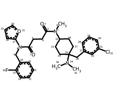 CN(C(=O)CCC(=O)N(Cc1ccccc1F)c1ccco1)C1CCC(Cc2cccc(Cl)c2)(N(C)C)CC1